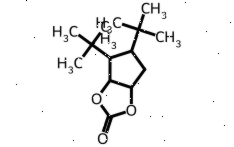 CC(C)(C)C1CC2OC(=O)OC2C1C(C)(C)C